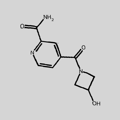 NC(=O)c1[c]c(C(=O)N2CC(O)C2)ccn1